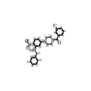 O=C(c1cccc(F)c1)N1CCN(c2ccc([N+](=O)[O-])c(NCc3ccccc3)c2)CC1